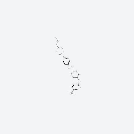 NCCC1CCN(c2ccc(S(=O)(=O)N3CCC(Nc4ccc(C(F)(F)F)cn4)CC3)cc2)CC1